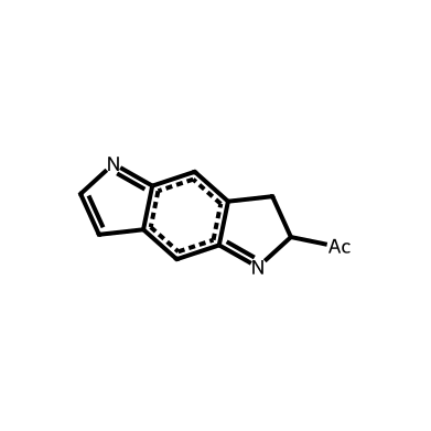 CC(=O)C1Cc2cc3c(cc2=N1)C=CN=3